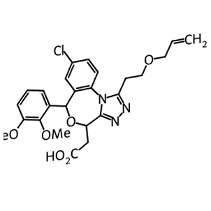 C=CCOCCc1nnc2n1-c1ccc(Cl)cc1C(c1cccc(OC)c1OC)OC2CC(=O)O